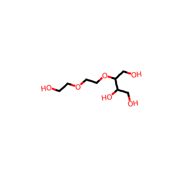 OCCOCCOC(CO)C(O)CO